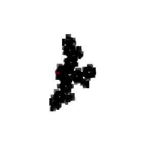 N#Cc1cc(-n2c3ccccc3c3cc(-c4ccc(C(F)(F)F)cc4C(F)(F)F)ccc32)c(-n2c3ccccc3c3cc(-c4ccc(C(F)(F)F)cc4C(F)(F)F)ccc32)cc1-c1ccncc1